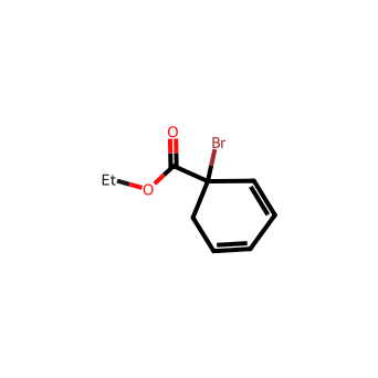 CCOC(=O)C1(Br)C=CC=CC1